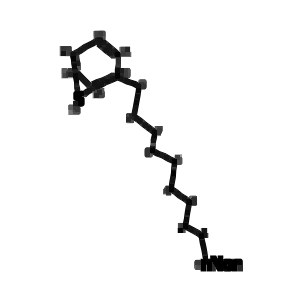 CCCCCCCCCCCCCCCCCCc1cccc2c1S2